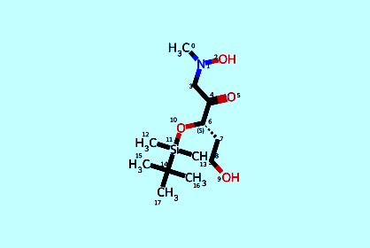 CN(O)CC(=O)[C@H](CCO)O[Si](C)(C)C(C)(C)C